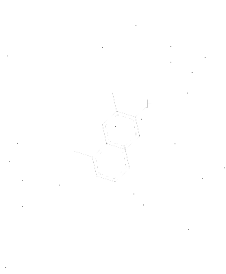 Cc1cc2c(C)cccc2cc1F